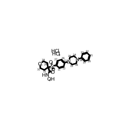 Cl.Cl.O=C(NO)C1(S(=O)(=O)c2ccc(N3CCN(c4ccccc4)CC3)cc2)CCOCC1